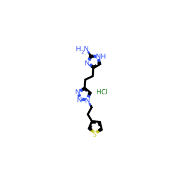 Cl.Nc1nc(CCc2cn(CCc3ccsc3)nn2)c[nH]1